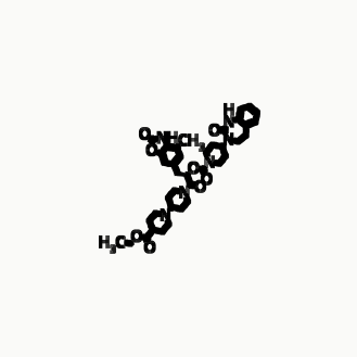 CCOC(=O)C1CCN(C2CCN(C(=O)[C@@H](Cc3cc(C)c4[nH]c(=O)oc4c3)OC(=O)N3CCC(N4CCc5ccccc5NC4=O)CC3)CC2)CC1